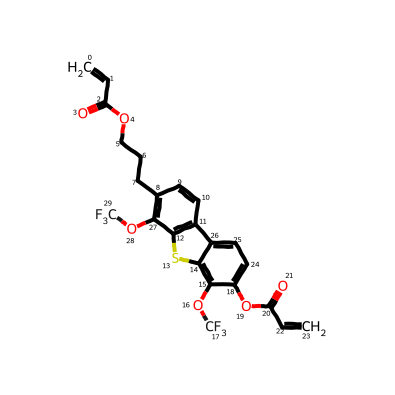 C=CC(=O)OCCCc1ccc2c(sc3c(OC(F)(F)F)c(OC(=O)C=C)ccc32)c1OC(F)(F)F